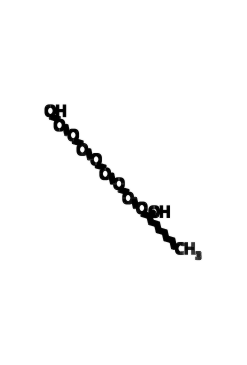 CCCCCCCCC(O)COCCOCCOCCOCCOCCOCCOCCOCCO